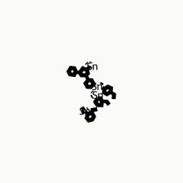 C=Cc1cc[c]([Sn]([CH3])([CH3])[CH3])cc1.C=Cc1ccc[c]([Sn]([CH3])([CH3])[CH3])c1.C=Cc1cccc[c]1[Sn]([CH3])([CH3])[CH3].[CH3][Sn]([CH3])([CH3])[c]1cc(-c2ccccc2)cc(-c2ccccc2)c1